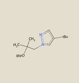 COC(C)(C)Cn1cc(C(C)(C)C)cn1